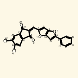 O=C1C(=Cc2cc3oc(-c4ccccc4)cc3s2)C(=O)c2cc(Cl)c(Cl)cc21